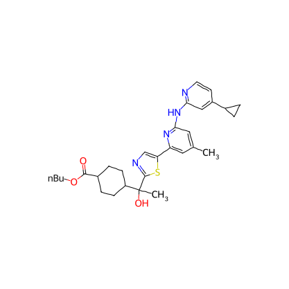 CCCCOC(=O)C1CCC(C(C)(O)c2ncc(-c3cc(C)cc(Nc4cc(C5CC5)ccn4)n3)s2)CC1